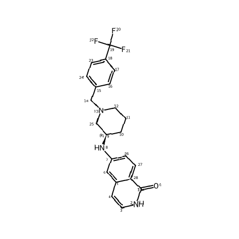 O=c1[nH]ccc2cc(N[C@@H]3CCCN(Cc4ccc(C(F)(F)F)cc4)C3)ccc12